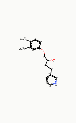 COc1ccc(OCC(O)CCc2cccnc2)cc1OC